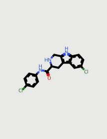 O=C(Nc1ccc(Cl)cc1)C1Cc2c([nH]c3ccc(Cl)cc23)CN1